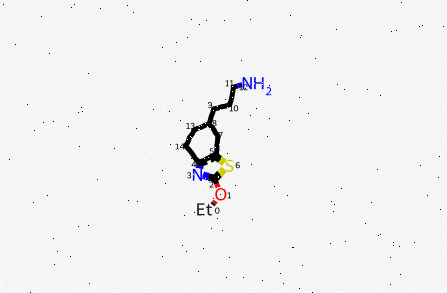 CCOc1nc2c(s1)CC(CCCN)CC2